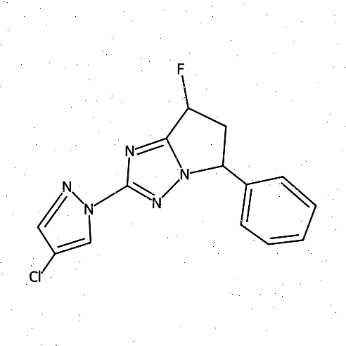 FC1CC(c2ccccc2)n2nc(-n3cc(Cl)cn3)nc21